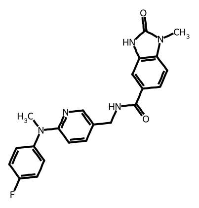 CN(c1ccc(F)cc1)c1ccc(CNC(=O)c2ccc3c(c2)[nH]c(=O)n3C)cn1